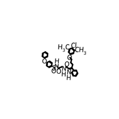 Cc1cc(OCCCc2c(C(=O)NCC(=O)N[S+]([O-])c3ccc(Oc4ccccc4)cc3)[nH]c3ccccc23)cc(C)c1Cl